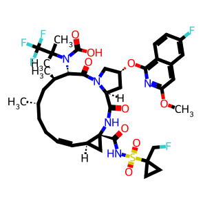 COc1cc2cc(F)ccc2c(O[C@@H]2C[C@H]3C(=O)N[C@]4(C(=O)NS(=O)(=O)C5(CF)CC5)C[C@H]4C=CCC[C@H](C)C[C@@H](C)[C@H](N(C(=O)O)C(C)(C)C(F)(F)F)C(=O)N3C2)n1